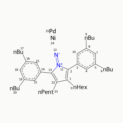 CCCCCCC1=C(c2cc(CCCC)cc(CCCC)c2)[N+](=[N-])C(c2cc(CCCC)cc(CCCC)c2)=C1CCCCC.[Ni].[Pd]